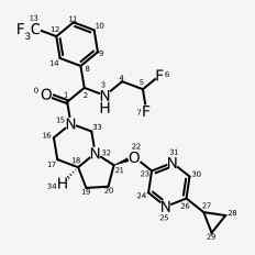 O=C(C(NCC(F)F)c1cccc(C(F)(F)F)c1)N1CC[C@@H]2CC[C@H](Oc3cnc(C4CC4)cn3)N2C1